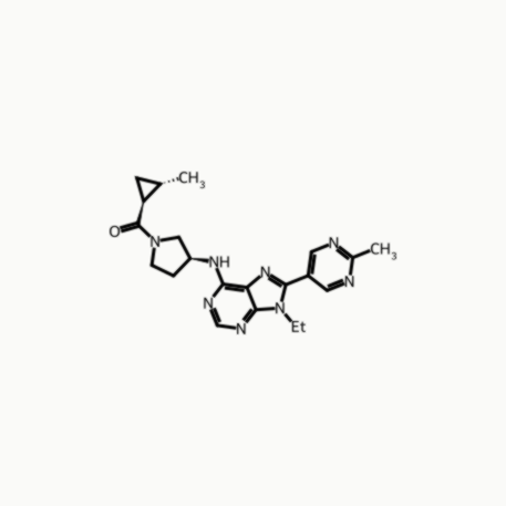 CCn1c(-c2cnc(C)nc2)nc2c(N[C@H]3CCN(C(=O)[C@H]4C[C@@H]4C)C3)ncnc21